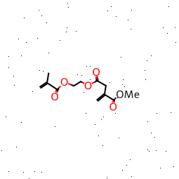 C=C(C)C(=O)OCCOC(=O)CC(=C)C(=O)OC